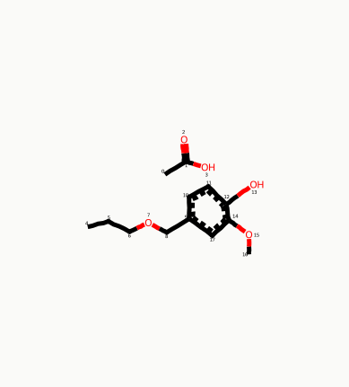 CC(=O)O.CCCOCc1ccc(O)c(OC)c1